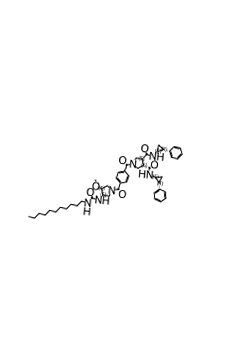 CCCCCCCCCCCNC(=O)N[C@H]1CN(C(=O)c2ccc(C(=O)N3C[C@@H](C(=O)N[C@H]4C[C@@H]4c4ccccc4)[C@H](C(=O)N[C@H]4C[C@@H]4c4ccccc4)C3)cc2)C[C@@H]1OC